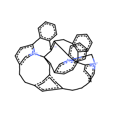 c1ccc2c(c1)C/C1=C3\c4ccccc4-c4ccc5c[n+]4C34Cc3cc(cc(c3)CC5)CCc3ccc([n+](c3)C[n+]3cc(ccc3-2)C4)-c2ccccc21